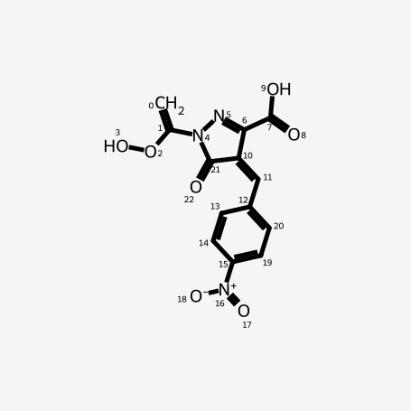 C=C(OO)N1N=C(C(=O)O)/C(=C/c2ccc([N+](=O)[O-])cc2)C1=O